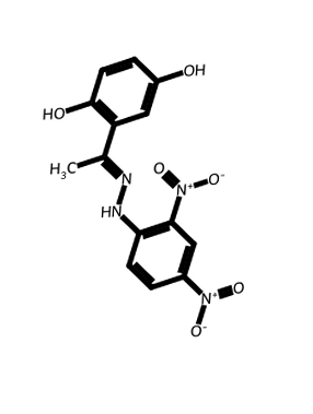 C/C(=N\Nc1ccc([N+](=O)[O-])cc1[N+](=O)[O-])c1cc(O)ccc1O